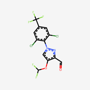 O=Cc1nn(-c2c(Cl)cc(C(F)(F)F)cc2Cl)cc1OC(F)F